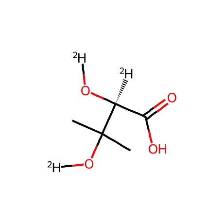 [2H]OC(C)(C)[C@@]([2H])(O[2H])C(=O)O